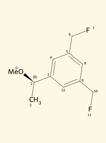 CO[C@H](C)c1cc(CF)cc(CF)c1